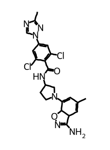 CC1=CC2C(N)=NOC2C(N2CCC(NC(=O)c3c(Cl)cc(-n4cnc(C)n4)cc3Cl)C2)=C1